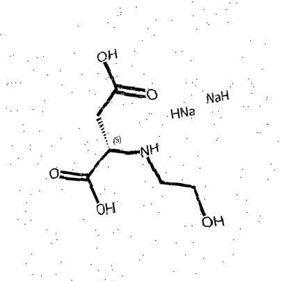 O=C(O)C[C@H](NCCO)C(=O)O.[NaH].[NaH]